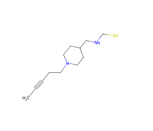 CC#CCCN1CCC(CNCS)CC1